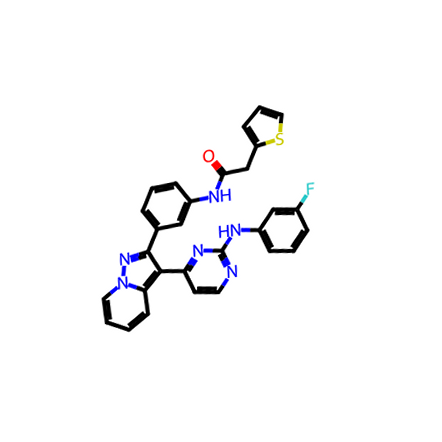 O=C(Cc1cccs1)Nc1cccc(-c2nn3ccccc3c2-c2ccnc(Nc3cccc(F)c3)n2)c1